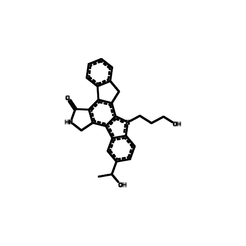 CC(O)c1ccc2c(c1)c1c3c(c4c(c1n2CCCO)Cc1ccccc1-4)C(=O)NC3